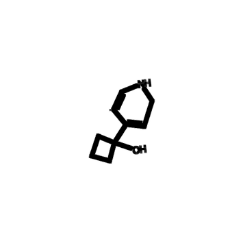 OC1(C2=CCNC=[C]2)CCC1